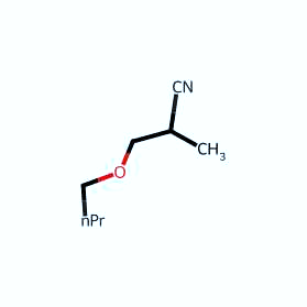 CCCCOCC(C)C#N